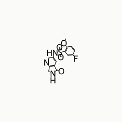 COc1ccc(F)cc1S(=O)(=O)Nc1cnc2c(c1)C(=O)NC2